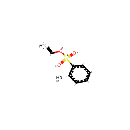 C=COS(=O)(=O)c1ccccc1.[Ho]